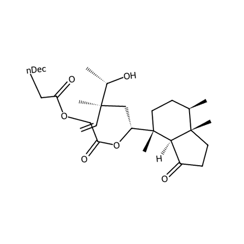 C=C[C@](C)(C[C@@H](OC(=O)COC(=O)CCCCCCCCCCC)[C@]1(C)CC[C@@H](C)[C@]2(C)CCC(=O)[C@H]21)[C@H](C)O